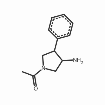 CC(=O)N1CC(N)C(c2ccccc2)C1